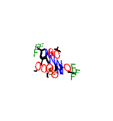 CCOC(=O)c1cc(C(F)(F)F)cnc1CN(C(=O)OC(C)(C)C)c1nc(OCC(F)(F)F)n(C)c1S(=O)(=O)CC